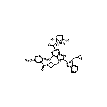 COc1cccc(C(=O)N2CC(Cn3c(-c4cc5ccccc5n4CC4CC4)nc4cc(C(=O)N5C[C@H]6CC[C@@H]5[C@@H]6N)cc(OC)c43)C2)c1